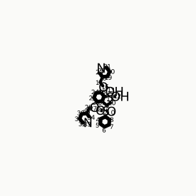 O=S(=O)(c1ccccc1)C1CS(O)(O)c2c(OCc3cccnc3)ccc(OCc3cccnc3)c21